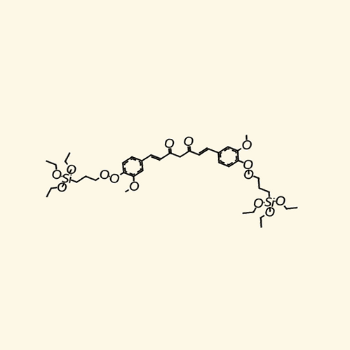 CCO[Si](CCCOOc1ccc(C=CC(=O)CC(=O)C=Cc2ccc(OOCCC[Si](OCC)(OCC)OCC)c(OC)c2)cc1OC)(OCC)OCC